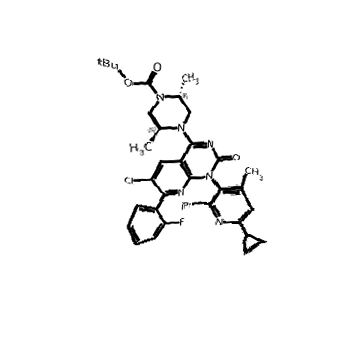 Cc1cc(C2CC2)nc(C(C)C)c1-n1c(=O)nc(N2C[C@@H](C)N(C(=O)OC(C)(C)C)C[C@@H]2C)c2cc(Cl)c(-c3ccccc3F)nc21